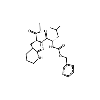 COC(=O)[C@H](C[C@@H]1CCCNC1=O)NC(=O)[C@H](CC(C)C)NC(=O)OCc1ccccc1